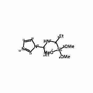 CCC(NC(CC)[Si](OC)(OC)OC)n1ccnc1